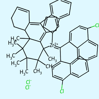 CC12C(=C3Cc4ccccc4C3=C3C=CCCC31)[C](C)([Zr+2](=[C](c1ccc(Cl)c3ccccc13)c1ccc(Cl)c3ccccc13)[CH]1C=CC=C1)C(C)(C)C(C)(C)C2(C)C.[Cl-].[Cl-]